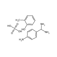 Cc1ccccc1O.Nc1ccc(C(N)N)cc1.O=S(=O)(O)O